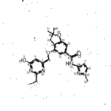 CCc1nc(O)cc(COc2cc(C(=O)Nc3ccn(C)n3)cc3c2CC(C)(C)O3)n1